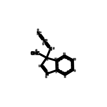 [N-]=[N+]=NC1(C=O)C=Nc2ccccc21